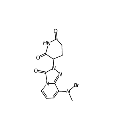 CN(Br)c1cccn2c(=O)n(C3CCC(=O)NC3=O)nc12